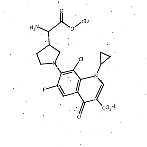 CC(C)(C)OC(=O)C(N)C1CCN(c2c(F)cc3c(=O)c(C(=O)O)cn(C4CC4)c3c2Cl)C1